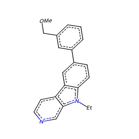 CCn1c2ccc(-c3cccc(COC)c3)cc2c2ccncc21